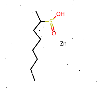 CCCCCCC(C)S(=O)O.[Zn]